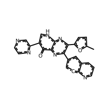 Cc1ccc(-c2nc3[nH]cc(-c4cnccn4)c(=O)c3nc2-c2ccc3ncccc3c2)o1